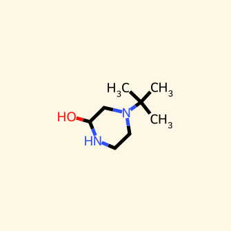 CC(C)(C)N1CCNC(O)C1